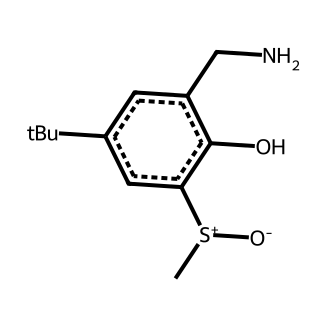 C[S+]([O-])c1cc(C(C)(C)C)cc(CN)c1O